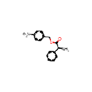 C=C(C(=O)OCc1ccc([N+](=O)[O-])cc1)c1ccccc1